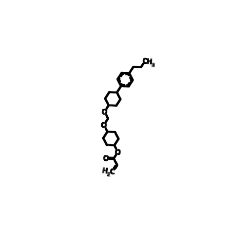 C=CC(=O)OC1CCC(OCOC2CCC(c3ccc(CCC)cc3)CC2)CC1